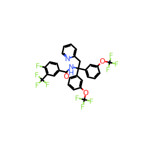 O=C(NC(Cc1ccccn1)(c1cccc(OC(F)(F)F)c1)c1cccc(OC(F)(F)F)c1)c1ccc(F)c(C(F)(F)F)c1